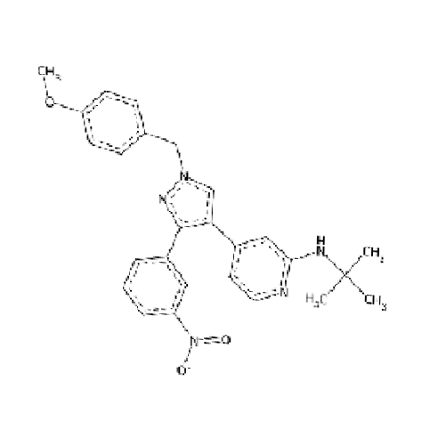 COc1ccc(Cn2cc(-c3ccnc(NC(C)(C)C)c3)c(-c3cccc([N+](=O)[O-])c3)n2)cc1